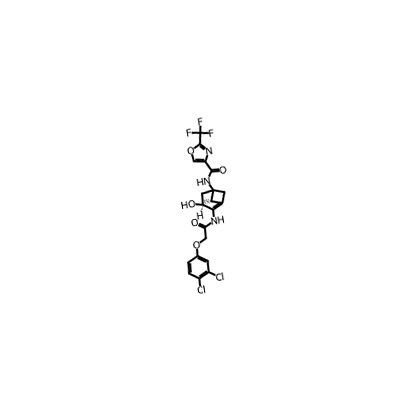 O=C(COc1ccc(Cl)c(Cl)c1)NC1=C2CC(NC(=O)c3coc(C(F)(F)F)n3)(C2)C[C@@H]1O